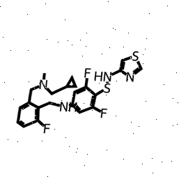 CN(Cc1cccc(F)c1CNc1cc(F)c(SNc2cscn2)c(F)c1)CC1CC1